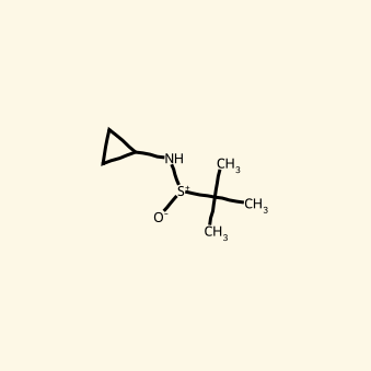 CC(C)(C)[S+]([O-])NC1CC1